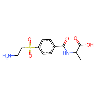 CC(NC(=O)c1ccc(S(=O)(=O)CCN)cc1)C(=O)O